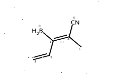 B/C(C=C)=C(/C)C#N